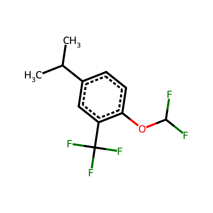 CC(C)c1ccc(OC(F)F)c(C(F)(F)F)c1